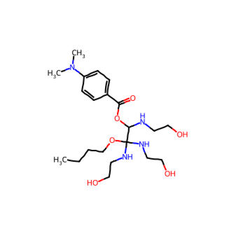 CCCCOC(NCCO)(NCCO)C(NCCO)OC(=O)c1ccc(N(C)C)cc1